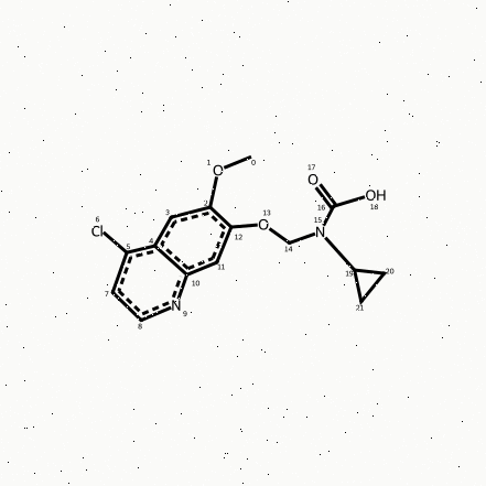 COc1cc2c(Cl)ccnc2cc1OCN(C(=O)O)C1CC1